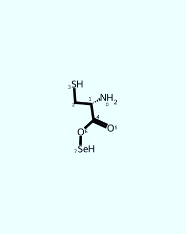 N[C@@H](CS)C(=O)O[SeH]